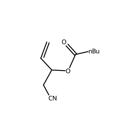 C=CC(CC#N)OC(=O)CCCC